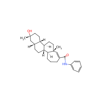 C[C@@]1(O)CC[C@H]2[C@H](CC[C@@H]3[C@@H]2CC[C@]2(C)C=C(C(=O)Nc4ccccc4)CCC[C@@H]32)C1